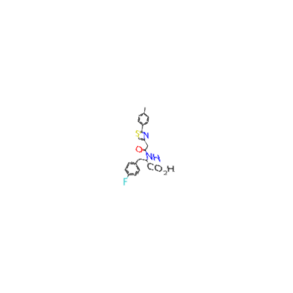 Cc1ccc(-c2nc(CC(=O)NC(Cc3ccc(F)cc3)C(=O)O)cs2)cc1